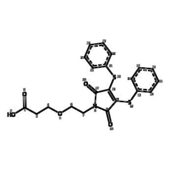 O=C(O)CCOCCN1C(=O)C(Sc2ccccc2)=C(Sc2ccccc2)C1=O